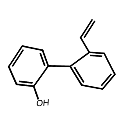 C=Cc1ccccc1-c1ccccc1O